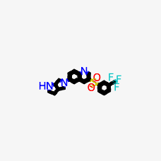 O=S(=O)(c1cccc(C(F)(F)F)c1)c1cnc2ccc(N3CC4CCNC4C3)cc2c1